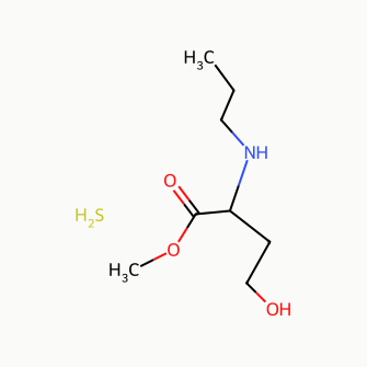 CCCNC(CCO)C(=O)OC.S